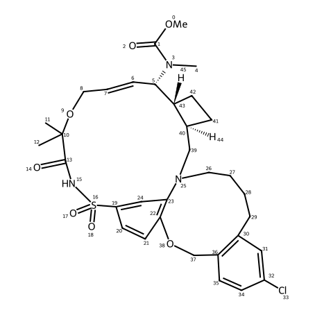 COC(=O)N(C)[C@H]1/C=C/COC(C)(C)C(=O)NS(=O)(=O)c2ccc3c(c2)N(CCCCc2cc(Cl)ccc2CO3)C[C@@H]2CC[C@H]21